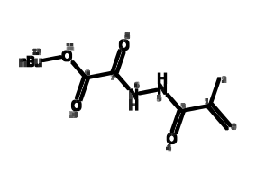 C=C(C)C(=O)NNC(=O)C(=O)OCCCC